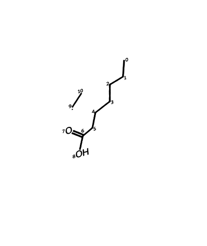 CCCCCCC(=O)O.[CH2]C